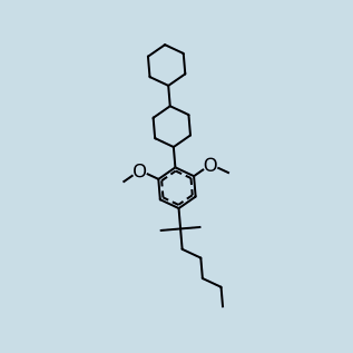 CCCCCC(C)(C)c1cc(OC)c(C2CCC(C3CCCCC3)CC2)c(OC)c1